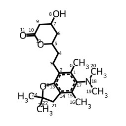 Cc1c(CCC2CC(O)CC(=O)O2)c2c(c(C)c1N(C)C)CC(C)(C)O2